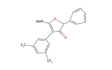 CNC1=C(c2cc(C(F)(F)F)cc(C(F)(F)F)c2)C(=O)C(c2ccccc2)O1